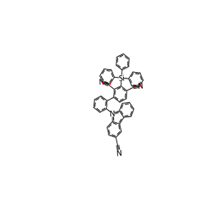 N#Cc1ccc2c(c1)c1ccccc1n2-c1ccccc1-c1ccc(C#N)c([Si](c2ccccc2)(c2ccccc2)c2ccccc2)c1C#N